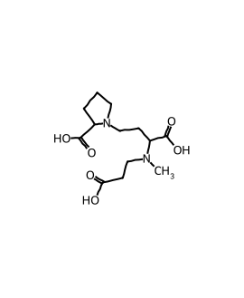 CN(CCC(=O)O)C(CCN1CCCC1C(=O)O)C(=O)O